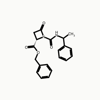 CC(NC(=O)N1C(=O)C[C@H]1C(=O)OCc1ccccc1)c1ccccc1